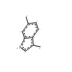 Cc1ccc2c(C)csc2c1